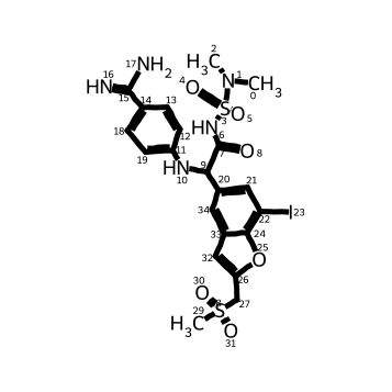 CN(C)S(=O)(=O)NC(=O)C(Nc1ccc(C(=N)N)cc1)c1cc(I)c2oc(CS(C)(=O)=O)cc2c1